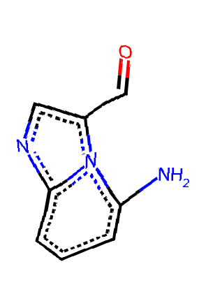 Nc1cccc2ncc(C=O)n12